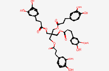 O=C(CCc1ccc(O)c(O)c1)OCC(COC(=O)CCc1ccc(O)c(O)c1)(COC(=O)CCc1ccc(O)c(O)c1)COC(=O)CCc1ccc(O)c(O)c1